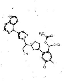 N#CCC([C@H]1CCN(c2nc(Cl)c(F)cc2N(C=O)OC(=O)C(F)(F)F)C1)n1cc(-c2ncnc3[nH]ccc23)cn1